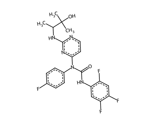 CC(Nc1nccc(N(C(=O)Nc2cc(F)c(F)cc2F)c2ccc(F)cc2)n1)C(C)(C)O